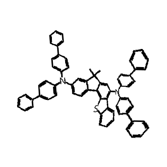 CC1(C)c2cc(N(c3ccc(-c4ccccc4)cc3)c3ccc(-c4ccccc4)cc3)ccc2-c2c1cc(N(c1ccc(-c3ccccc3)cc1)c1ccc(-c3ccccc3)cc1)c1c2sc2ccccc21